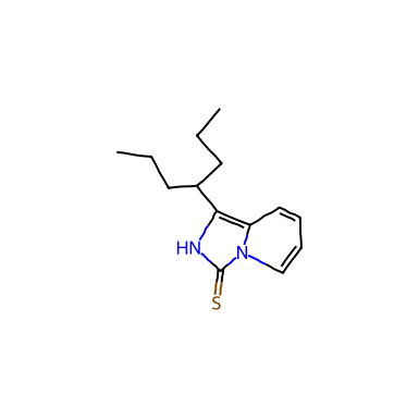 CCCC(CCC)c1[nH]c(=S)n2ccccc12